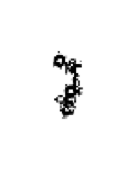 Cc1oc(-c2ccccc2)nc1CCOc1ccc(C([O])P2(=O)OCCCO2)cc1F